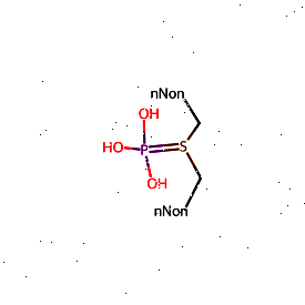 CCCCCCCCCCS(CCCCCCCCCC)=P(O)(O)O